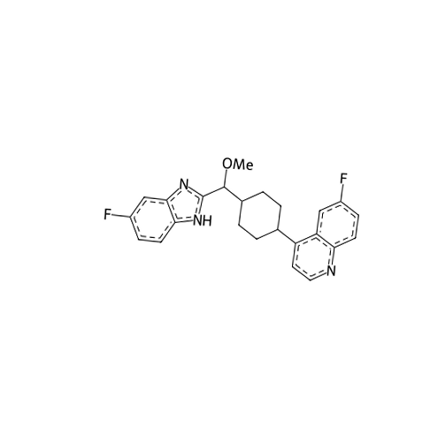 COC(c1nc2cc(F)ccc2[nH]1)C1CCC(c2ccnc3ccc(F)cc23)CC1